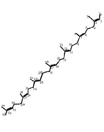 [CH2]/C=C(\C)CC/C=C(\C)CC/C=C(\C)CC/C=C(\C)CC/C=C(\C)CC/C=C(\C)CCC=C(C)C